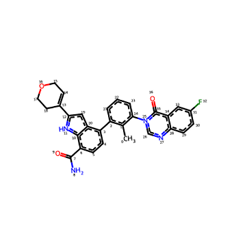 Cc1c(-c2ccc(C(N)=O)c3[nH]c(C4=CCOCC4)cc23)cccc1-n1cnc2ccc(F)cc2c1=O